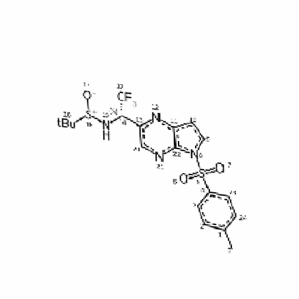 Cc1ccc(S(=O)(=O)n2ccc3nc([C@H](N[S+]([O-])C(C)(C)C)C(F)(F)F)cnc32)cc1